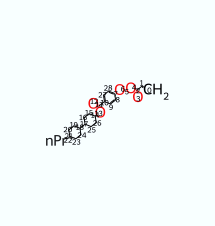 C=CC(=O)OCOc1ccc(C(=O)OC2CCC(C3CCC(CCC)CC3)CC2)cc1